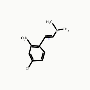 CN(C)/C=C/c1ccc(Cl)cc1[N+](=O)[O-]